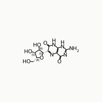 Nc1nc(=O)c2nc([C@@H]3O[C@H](CO)[C@@H](O)[C@H]3O)c(=O)[nH]c2[nH]1